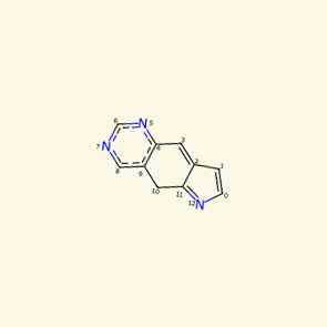 C1=CC2=Cc3ncncc3CC2=N1